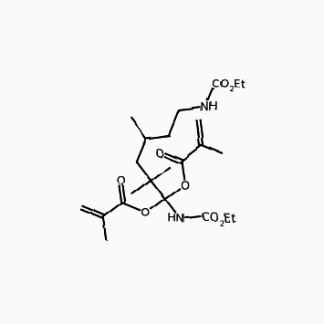 C=C(C)C(=O)OC(NC(=O)OCC)(OC(=O)C(=C)C)C(C)(C)CC(C)CCNC(=O)OCC